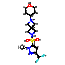 Cn1nc(C(F)F)cc1S(=O)(=O)N1CC2(CN(C3CCOCC3)C2)C1